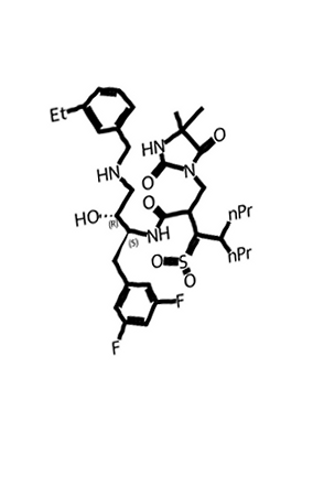 CCCC(CCC)C(C(CN1C(=O)NC(C)(C)C1=O)C(=O)N[C@@H](Cc1cc(F)cc(F)c1)[C@H](O)CNCc1cccc(CC)c1)=S(=O)=O